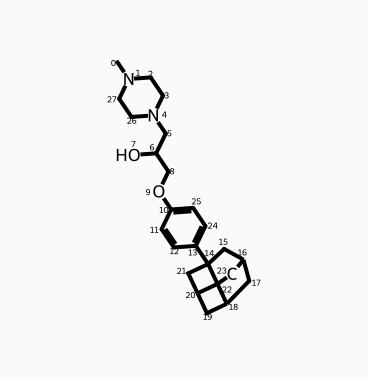 CN1CCN(CC(O)COc2ccc(C34CC5CC6CC(C3)C64C5)cc2)CC1